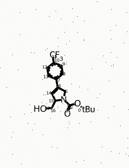 CC(C)(C)OC(=O)N1CC(c2ccc(C(F)(F)F)cc2)=CC1CO